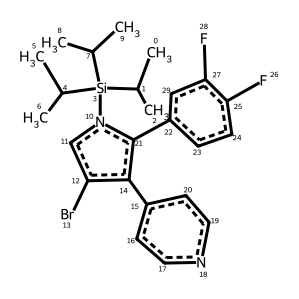 CC(C)[Si](C(C)C)(C(C)C)n1cc(Br)c(-c2ccncc2)c1-c1ccc(F)c(F)c1